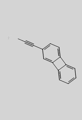 O=C(O)C#Cc1ccc2c(c1)-c1ccccc1-2